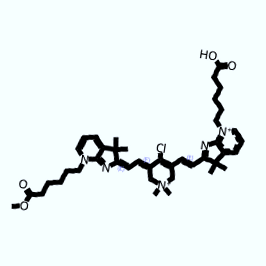 COC(=O)CCCCCN1C=CC=C2C1=N/C(=C/C=C1\C[N+](C)(C)CC(/C=C/C3=Nc4c(ccc[n+]4CCCCCC(=O)O)C3(C)C)=C1Cl)C2(C)C